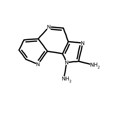 Nc1nc2cnc3cccnc3c2n1N